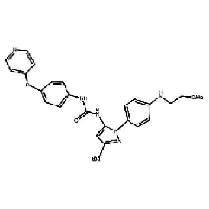 COCCNc1ccc(-n2nc(C(C)(C)C)cc2NC(=O)Nc2ccc(Oc3ccncc3)cc2)cc1